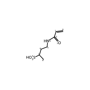 C=CC(=O)NCCC(C)S(=O)(=O)O